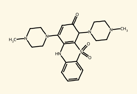 CN1CCN(C2=CC(=O)C(N3CCN(C)CC3)C3=C2Nc2ccccc2S3(=O)=O)CC1